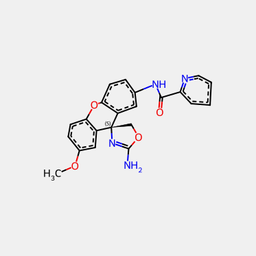 COc1ccc2c(c1)[C@]1(COC(N)=N1)c1cc(NC(=O)c3ccccn3)ccc1O2